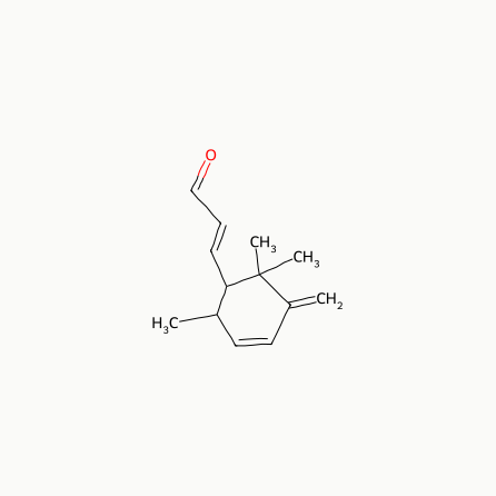 C=C1C=CC(C)C(/C=C/C=O)C1(C)C